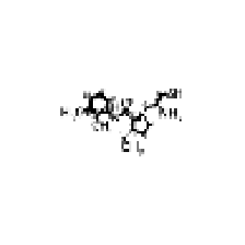 CC[C@H]1CCN(C[C@@H](N)CS)[C@@H]1C(=O)Nc1cccc(C)c1C